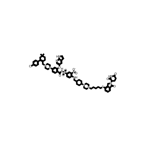 CC1(C)CCC(CN2CCN(c3ccc(C(=O)NS(=O)(=O)c4ccc(NCC5CCC(N6CCN(CCCCCSc7cccc8c7CN(C7CCC(=O)NC7=O)C8=O)CC6)CC5)c([N+](=O)[O-])c4)c(Oc4cnc5[nH]ccc5c4)c3)CC2)=C(c2ccc(Cl)cc2)C1